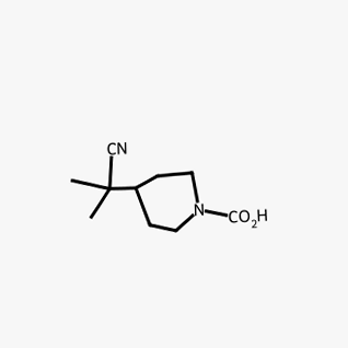 CC(C)(C#N)C1CCN(C(=O)O)CC1